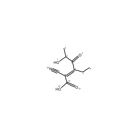 CCC(C(=O)C(C)O)=C(C#N)C(=O)O